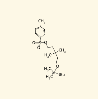 Cc1ccc(S(=O)(=O)OCCC(C)(C)CCO[Si](C)(C)C(C)(C)C)cc1